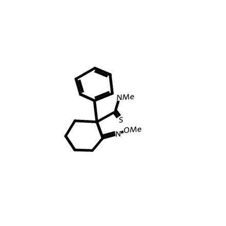 CNC(=S)C1(c2ccccc2)CCCC/C1=N/OC